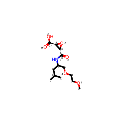 COCCOCC(CC(C)C)NC(=O)[C@H]1O[C@@H]1C(=O)O